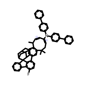 CC1/C=C\C(N(c2ccc(-c3ccccc3)cc2)c2ccc(-c3ccccc3)cc2)=C/CC(C)(C)c2cc(-c3ccc(F)c4c3C3(c5ccccc5-4)C4CC5CC(C4)CC3C5)ccc21